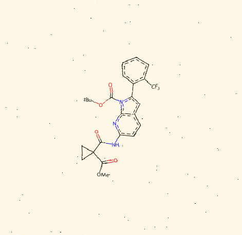 COC(=O)C1(C(=O)Nc2ccc3cc(-c4ccccc4C(F)(F)F)n(C(=O)OC(C)(C)C)c3n2)CC1